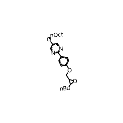 CCCCCCCCOc1cnc(-c2ccc(OCC3OC3CCCC)cc2)nc1